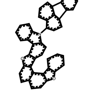 c1ccc2c(c1)-c1cccc3c(-n4c5ccccc5c5c6oc7ccc8ccc9oc%10ccccc%10c9c8c7c6ccc54)ccc-2c13